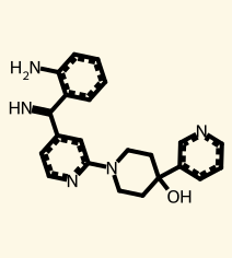 N=C(c1ccnc(N2CCC(O)(c3cccnc3)CC2)c1)c1ccccc1N